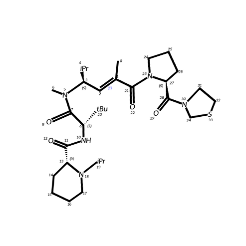 C/C(=C\[C@H](C(C)C)N(C)C(=O)[C@@H](NC(=O)[C@H]1CCCCN1C(C)C)C(C)(C)C)C(=O)N1CCC[C@H]1C(=O)N1CCSC1